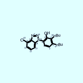 CCCCc1ccc(-n2nnc3c(Cl)cccc32)c(O)c1CCCC